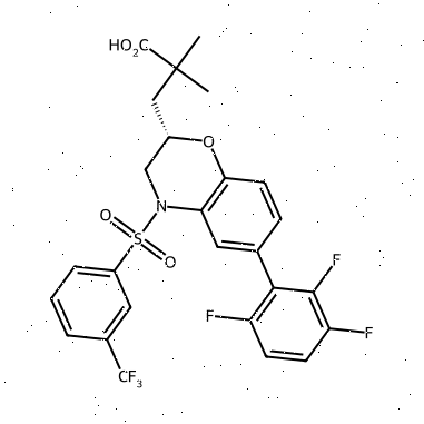 CC(C)(C[C@H]1CN(S(=O)(=O)c2cccc(C(F)(F)F)c2)c2cc(-c3c(F)ccc(F)c3F)ccc2O1)C(=O)O